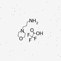 NCCCN1CCOCC1.O=C(O)C(F)(F)F